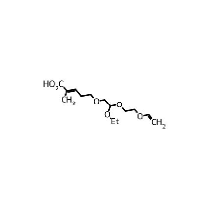 C=COCCOC(COCCC=C(C)C(=O)O)OCC